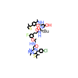 Cc1ccsc1-c1ccc(C(C)NC(=O)[C@@H]2C[C@@H](O)CN2C(=O)[C@@H](NC(=O)CCc2cc(F)cc(OC(C)CNC(=O)CC3N=C(c4ccc(Cl)cc4)c4c(sc(C)c4C)-n4c(C)nnc43)c2)C(C)(C)C)cc1